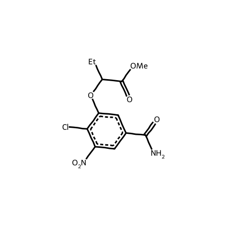 CCC(Oc1cc(C(N)=O)cc([N+](=O)[O-])c1Cl)C(=O)OC